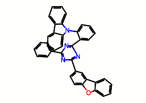 c1ccc(-c2nc(-c3ccc4oc5ccccc5c4c3)nc(-c3ccccc3-n3c4ccccc4c4ccccc43)n2)cc1